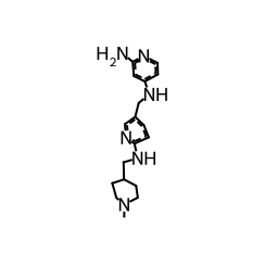 CN1CCC(CNc2ccc(CNc3ccnc(N)c3)cn2)CC1